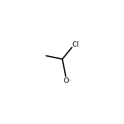 CC([O])Cl